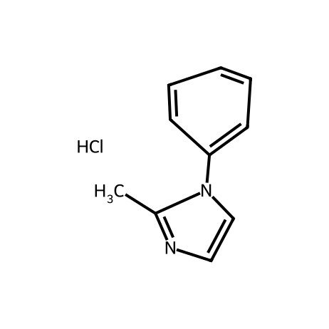 Cc1nccn1-c1ccccc1.Cl